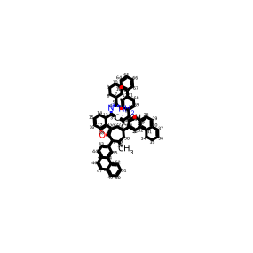 CC(=C=C(/N=C(\N)C1CCCCC1)C1CC=Cc2oc3c(c21)CC(c1ccc2ccc4c(c2c1)CCC=C4)CC(C)C3c1ccc2ccc3ccccc3c2c1)[C@@H](C)c1ccc(-c2ccccc2)cc1